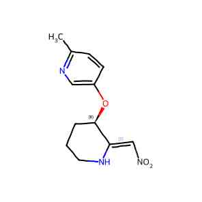 Cc1ccc(O[C@@H]2CCCN/C2=C\[N+](=O)[O-])cn1